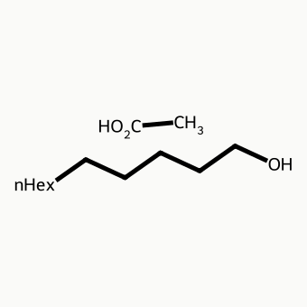 CC(=O)O.CCCCCCCCCCCO